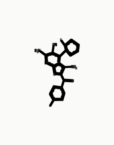 Cc1ccc(C(=O)c2sc3nc(N)c(C#N)c(-c4ccccc4I)c3c2N)cc1